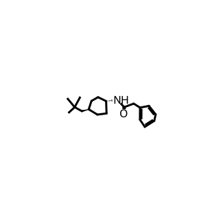 CC(C)(C)C[C@H]1CC[C@H](NC(=O)Cc2ccccc2)CC1